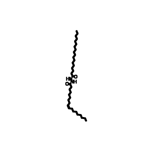 CCCCCCCC/C=C\CCCCCCCC(=O)NNC(=O)CCCCCCCCCCCCCCCCC